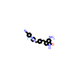 N#Cc1ccc(N2CCN(Cc3ccc(Cc4ccc5c6c(cc(N)cc46)C(=O)N5)cc3)CC2)c(F)c1